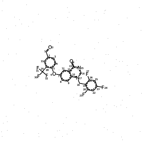 O=Cc1ccc(Oc2ccc3c(c2)c(=O)ncn3Cc2c(F)cc(F)cc2F)c(C(F)(F)F)c1